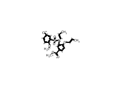 CC=COc1ccc(C(=O)OC)cc1N(C=CC)S(=O)(=O)c1cc(Cl)ccc1OC